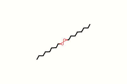 CCCCCCCCOOCCCCCCCC